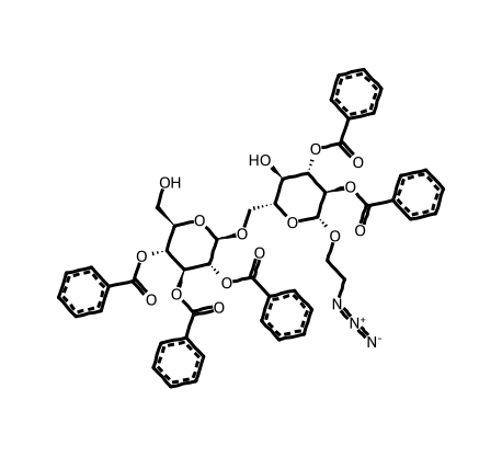 [N-]=[N+]=NCCO[C@@H]1O[C@H](CO[C@@H]2O[C@H](CO)[C@@H](OC(=O)c3ccccc3)[C@H](OC(=O)c3ccccc3)[C@H]2OC(=O)c2ccccc2)[C@@H](O)[C@H](OC(=O)c2ccccc2)[C@H]1OC(=O)c1ccccc1